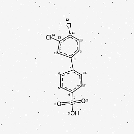 O=S(=O)(O)c1ccc(-c2ccc(Cl)c(Cl)c2)cc1